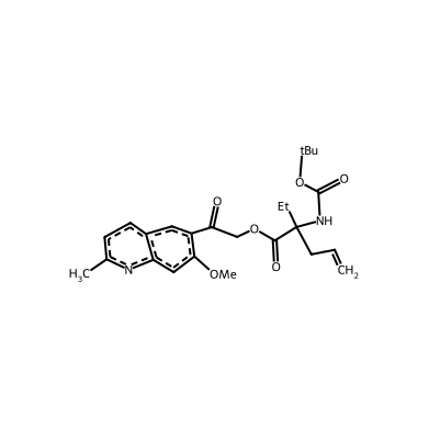 C=CCC(CC)(NC(=O)OC(C)(C)C)C(=O)OCC(=O)c1cc2ccc(C)nc2cc1OC